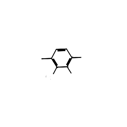 Cc1ccc(F)c(O)c1OCC(C)C